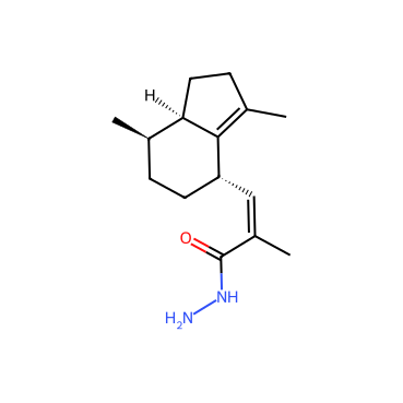 CC(=C[C@@H]1CC[C@@H](C)[C@H]2CCC(C)=C12)C(=O)NN